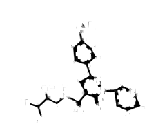 O=C(NCC(O)C(F)F)c1cc(-c2ccc(OC(F)(F)F)cc2)nn(-c2cccnc2)c1=O